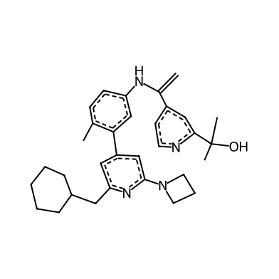 C=C(Nc1ccc(C)c(-c2cc(CC3CCCCC3)nc(N3CCC3)c2)c1)c1ccnc(C(C)(C)O)c1